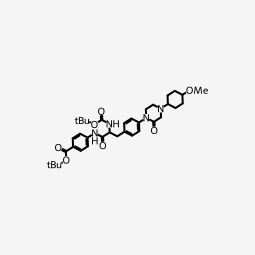 COC1CCC(N2CCN(c3ccc(CC(NC(=O)OC(C)(C)C)C(=O)Nc4ccc(C(=O)OC(C)(C)C)cc4)cc3)C(=O)C2)CC1